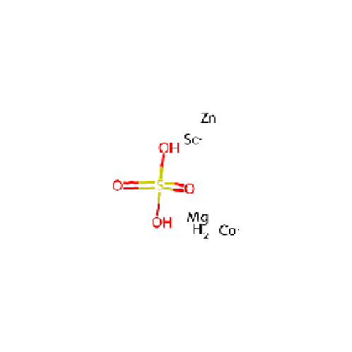 O=S(=O)(O)O.[Co].[MgH2].[Sc].[Zn]